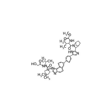 COC(=O)NC(C(=O)N1C2CCC(C2)C1c1ncc(-c2ccc(-c3ccc4c(ccc5nc([C@@H]6C[Si](C)(C)CN6C(=O)C(NC(=O)CO)C(C)C)[nH]c54)c3)cc2)[nH]1)C(C)C